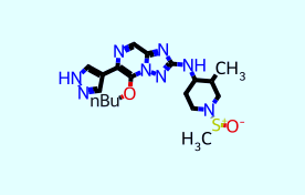 CCCCOc1c(-c2cn[nH]c2)ncc2nc(NC3CCN([S+](C)[O-])CC3C)nn12